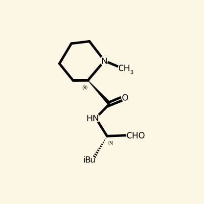 CCC(C)[C@@H](C=O)NC(=O)[C@H]1CCCCN1C